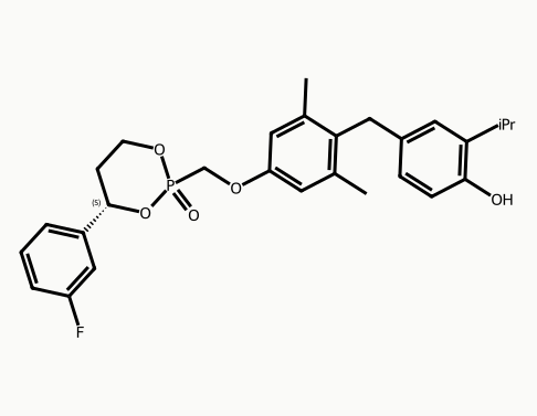 Cc1cc(OCP2(=O)OCC[C@@H](c3cccc(F)c3)O2)cc(C)c1Cc1ccc(O)c(C(C)C)c1